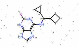 Ic1nc(N[C@H](C2CCC2)C2CC2)c2nc[nH]c2n1